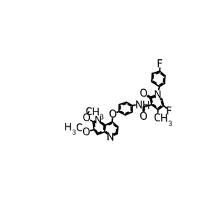 COc1cc2nccc(Oc3ccc(NC(=O)c4c(C)c(F)cn(-c5ccc(F)cc5)c4=O)cc3)c2nc1OC